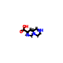 O=C(O)C1=NCN2CCNCC2=C1